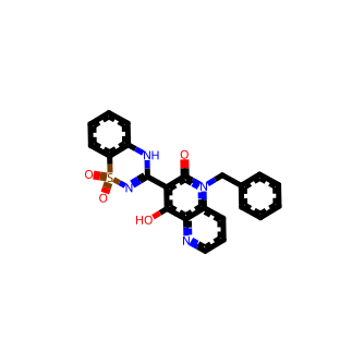 O=c1c(C2=NS(=O)(=O)c3ccccc3N2)c(O)c2ncccc2n1Cc1ccccc1